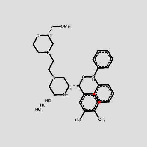 COC[C@@H]1CN(CCN2CCN[C@@H](C(O[SiH](c3ccccc3)c3ccccc3)c3ccc(C)c(C(C)(C)C)c3)C2)CCO1.Cl.Cl.Cl